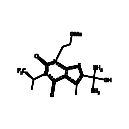 BC(B)(O)c1sc2c(c1C)c(=O)n([C@@H](C)C(F)(F)F)c(=O)n2CCOC